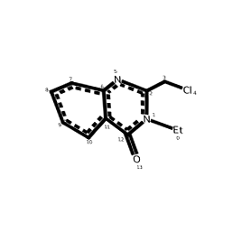 CCn1c(CCl)nc2ccccc2c1=O